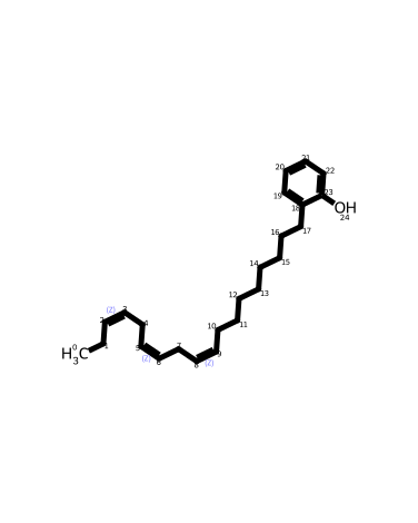 CC/C=C\C/C=C\C/C=C\CCCCCCCCc1ccccc1O